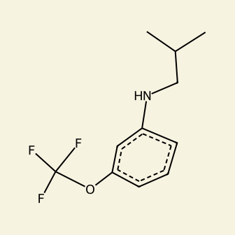 CC(C)CNc1cccc(OC(F)(F)F)c1